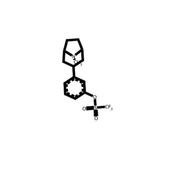 CN1C2CCC1CC(c1cccc(OS(=O)(=O)C(F)(F)F)c1)C2